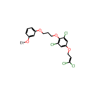 CCOc1cccc(OCCCOc2c(Cl)cc(OCC=C(Cl)Cl)cc2Cl)c1